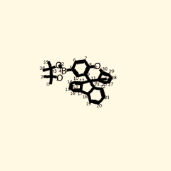 CC1(C)OB(c2ccc3c(c2)C2(c4ccccc4C4C=CC=CC42)C2(C)CC=CC=C2O3)OC1(C)C